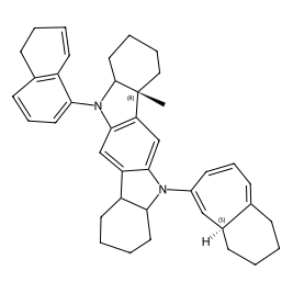 C[C@]12CCCCC1N(c1cccc3c1C=CCC3)c1cc3c(cc12)N(C1=C[C@@H]2CCCCC2=CC=C1)C1CCCCC31